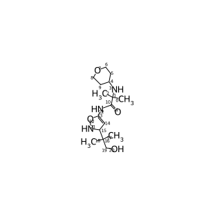 CC(C)(NC1CCOCC1)C(=O)NC1=CC(C(C)(C)CO)NO1